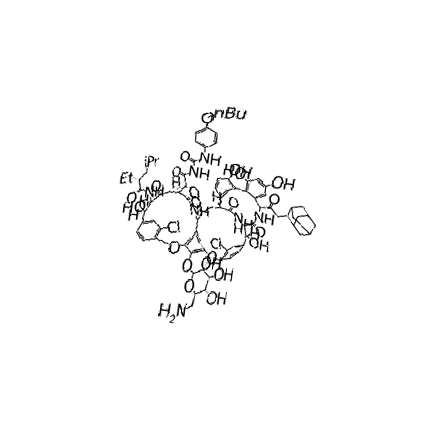 CCCCOc1ccc(NC(=O)NC(=O)C[C@@H]2CC(=O)[C@H](NC(=O)[C@H](CC)CC(C)C)[C@H](O)c3ccc(c(Cl)c3)Oc3cc4cc(c3O[C@@H]3O[C@H](CN)[C@@H](O)[C@H](O)[C@H]3O)Oc3ccc(cc3Cl)[C@@H](O)[C@@H]3NC(=O)[C@H](CC(=O)C4NC2=O)c2ccc(O)c(c2)-c2c(O)cc(O)cc2[C@@H](C(=O)CC2C4CC5CC(C4)CC2C5)NC3=O)cc1